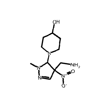 CN1N=CC(CN)([N+](=O)[O-])C1N1CCC(O)CC1